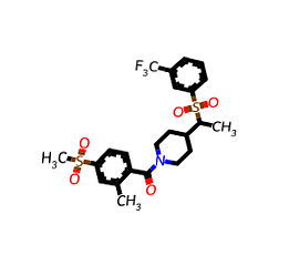 Cc1cc(S(C)(=O)=O)ccc1C(=O)N1CCC(C(C)S(=O)(=O)c2cccc(C(F)(F)F)c2)CC1